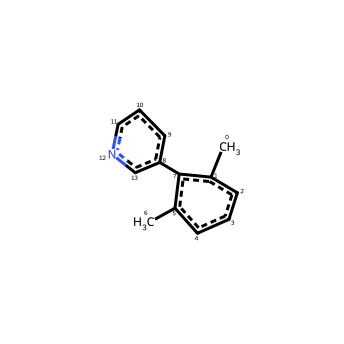 Cc1cccc(C)c1-c1c[c]cnc1